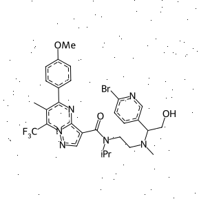 COc1ccc(-c2nc3c(C(=O)N(CCN(C)C(CO)c4ccc(Br)nc4)C(C)C)cnn3c(C(F)(F)F)c2C)cc1